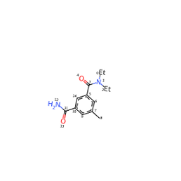 CCN(CC)C(=O)c1cc(C)cc(C(N)=O)c1